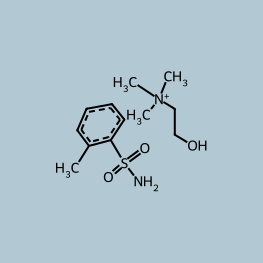 C[N+](C)(C)CCO.Cc1ccccc1S(N)(=O)=O